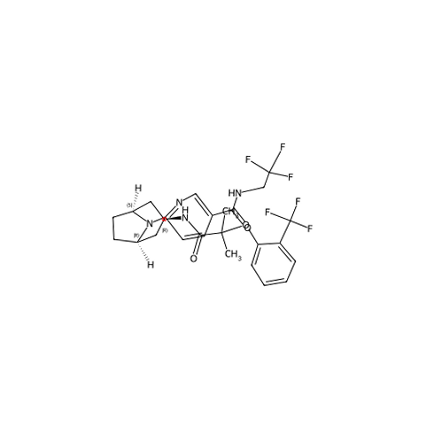 CC(C)(Oc1ccccc1C(F)(F)F)C(=O)N[C@H]1C[C@H]2CC[C@@H](C1)N2c1ccc(C(=O)NCC(F)(F)F)cn1